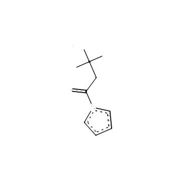 CC(C)(C)CC(=O)n1cccc1